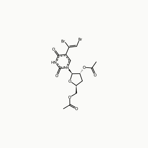 CC(=O)OC[C@@H]1C[C@@H](OC(C)=O)[C@H](n2cc(C(Br)=CBr)c(=O)[nH]c2=O)O1